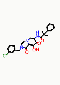 CC(C)(C(=O)NC1CN2C=CN(Cc3cccc(Cl)c3)C(=O)C2=C(O)C1=O)c1ccccc1